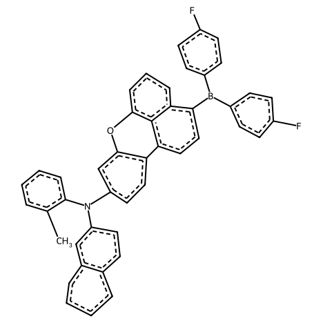 Cc1ccccc1N(c1ccc2c(c1)Oc1cccc3c(B(c4ccc(F)cc4)c4ccc(F)cc4)ccc-2c13)c1ccc2ccccc2c1